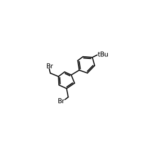 CC(C)(C)c1ccc(-c2cc(CBr)cc(CBr)c2)cc1